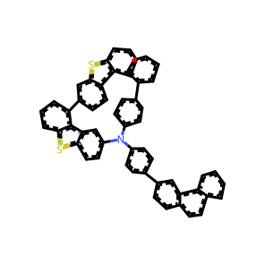 c1ccc(-c2ccc(N(c3ccc(-c4ccc5ccc6ccccc6c5c4)cc3)c3ccc4sc5cccc(-c6ccc7c(c6)sc6ccccc67)c5c4c3)cc2)cc1